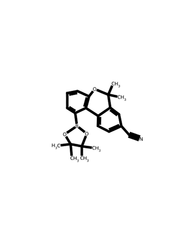 CC1(C)Oc2cccc(B3OC(C)(C)C(C)(C)O3)c2-c2ccc(C#N)cc21